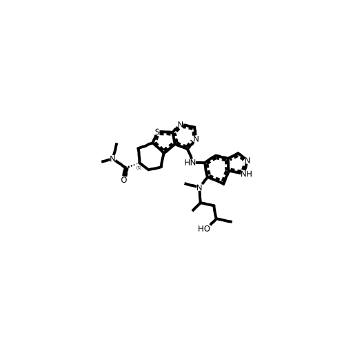 CC(O)CC(C)N(C)c1cc2[nH]ncc2cc1Nc1ncnc2sc3c(c12)CC[C@H](C(=O)N(C)C)C3